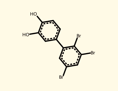 Oc1ccc(-c2cc(Br)cc(Br)c2Br)cc1O